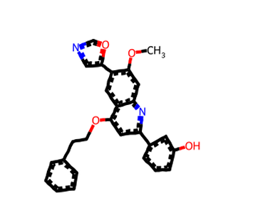 COc1cc2nc(-c3cccc(O)c3)cc(OCCc3ccccc3)c2cc1-c1cnco1